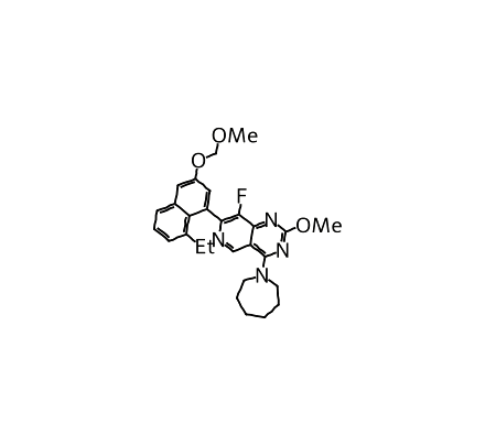 CCc1cccc2cc(OCOC)cc(-c3ncc4c(N5CCCCCC5)nc(OC)nc4c3F)c12